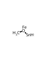 C[O][SnH].[Fe]